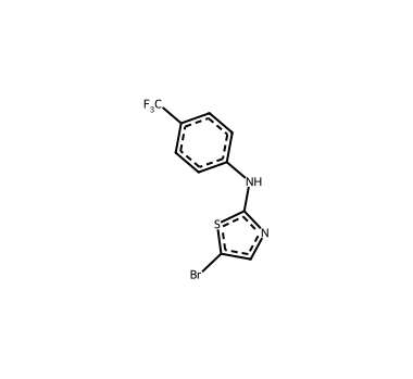 FC(F)(F)c1ccc(Nc2ncc(Br)s2)cc1